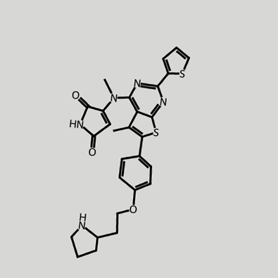 Cc1c(-c2ccc(OCCC3CCCN3)cc2)sc2nc(-c3cccs3)nc(N(C)C3=CC(=O)NC3=O)c12